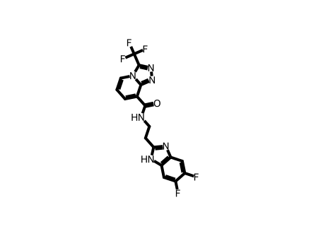 O=C(NCCc1nc2cc(F)c(F)cc2[nH]1)c1cccn2c(C(F)(F)F)nnc12